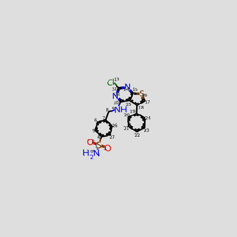 NS(=O)(=O)c1ccc(CNc2nc(Cl)nc3scc(-c4ccccc4)c23)cc1